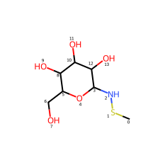 CSNC1OC(CO)C(O)C(O)C1O